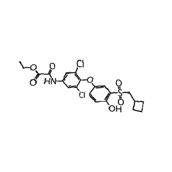 CCOC(=O)C(=O)Nc1cc(Cl)c(Oc2ccc(O)c(S(=O)(=O)CC3CCC3)c2)c(Cl)c1